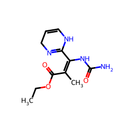 CCOC(=O)C(C)=C(NC(N)=O)C1=NCC=CN1